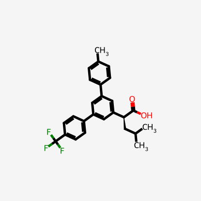 Cc1ccc(-c2cc(-c3ccc(C(F)(F)F)cc3)cc([C@H](CC(C)C)C(=O)O)c2)cc1